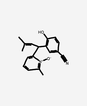 CC(C)=CC(c1cc(C#N)ccc1O)c1cccc(C)[n+]1[O-]